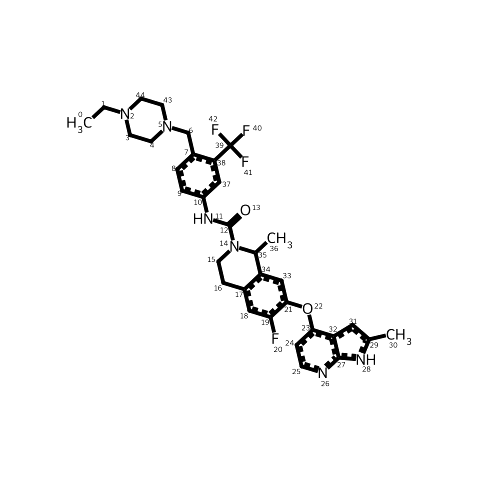 CCN1CCN(Cc2ccc(NC(=O)N3CCc4cc(F)c(Oc5ccnc6[nH]c(C)cc56)cc4C3C)cc2C(F)(F)F)CC1